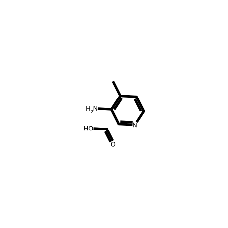 Cc1ccncc1N.O=CO